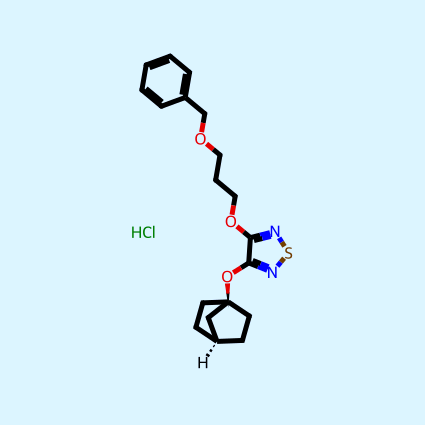 Cl.c1ccc(COCCCOc2nsnc2O[C@]23CC[C@@H](CC2)C3)cc1